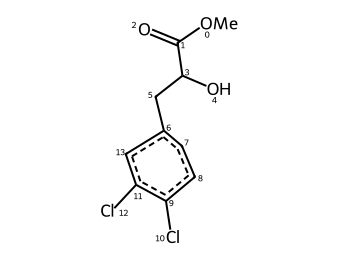 COC(=O)C(O)Cc1ccc(Cl)c(Cl)c1